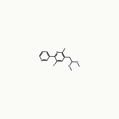 COC(Cc1cc(F)c(-c2cccnc2)nc1C)OC